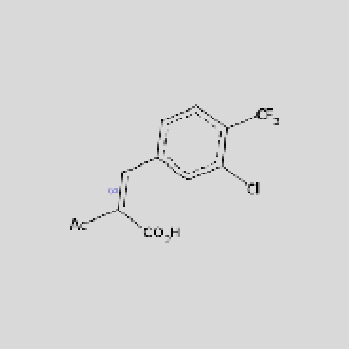 CC(=O)/C(=C/c1ccc(C(F)(F)F)c(Cl)c1)C(=O)O